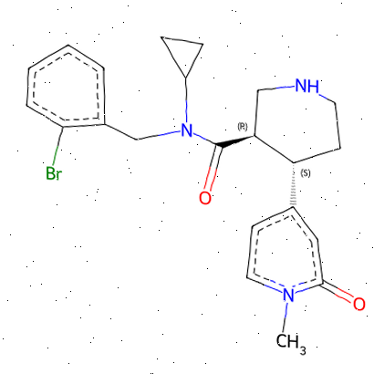 Cn1ccc([C@H]2CCNC[C@@H]2C(=O)N(Cc2ccccc2Br)C2CC2)cc1=O